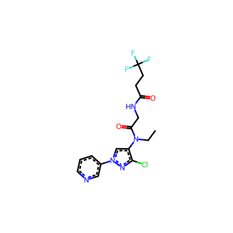 CCN(C(=O)CNC(=O)CCC(F)(F)F)c1cn(-c2cccnc2)nc1Cl